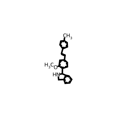 COc1cc(/C=C/c2ccc(C)cc2)ccc1C1NCc2ccccc21